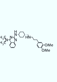 COc1ccc(CCCNC[C@H]2CC[C@@H](Nc3nc(N(C)C)c4ccccc4n3)CC2)cc1OC